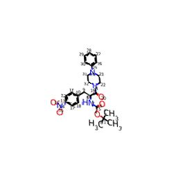 CC(C)(C)OC(=O)N[C@@H](Cc1ccc([N+](=O)[O-])cc1)C(=O)N1CCN(c2ccccc2)CC1